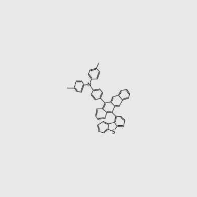 Cc1ccc(N(c2ccc(C)cc2)c2ccc(-c3c4ccccc4c(-c4cccc5sc6ccccc6c45)c4cc5ccccc5cc34)cc2)cc1